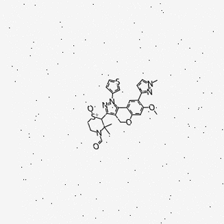 COc1cc2c(cc1-c1ccn(C)n1)-c1c(c(C3[S+]([O-])CCN(C=O)C3(C)C)nn1-c1ccsc1)CO2